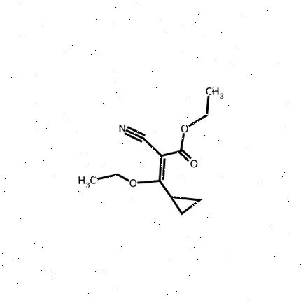 CCOC(=O)C(C#N)=C(OCC)C1CC1